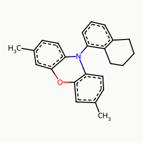 Cc1ccc2c(c1)Oc1cc(C)ccc1N2c1cccc2c1CCCC2